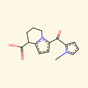 Cn1cccc1C(=O)c1ccc2n1CCCC2C(=O)O